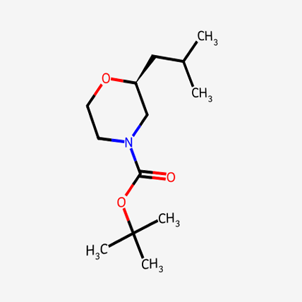 CC(C)C[C@H]1CN(C(=O)OC(C)(C)C)CCO1